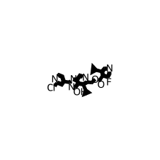 O=C(OCc1ncc2nc(-c3ccnc(Cl)c3)nc(O)c2c1C1CC1)c1c(F)cncc1C1CC1